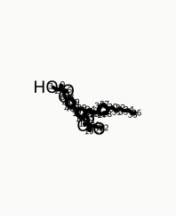 C=C(CO)C(=O)Oc1ccc(-c2ccc(OC(=O)C(=C)COC)c(/C=C/c3ccc(CCCCCCC)cc3)c2)cc1